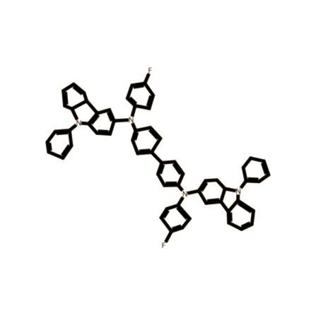 Fc1ccc(N(C2=CCC3C(=C2)c2ccccc2N3C2=CC=CCC2)c2ccc(-c3ccc(N(c4ccc(F)cc4)c4ccc5c(c4)C4C=CC=CC4N5c4ccccc4)cc3)cc2)cc1